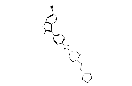 Cl.N#Cc1ccc2c(-c3ccc(S(=O)(=O)N4CCN(CCN5CCCC5)CC4)cn3)c(O)[nH]c2c1